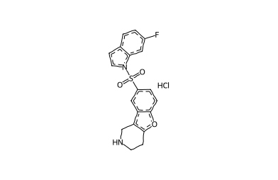 Cl.O=S(=O)(c1ccc2oc3c(c2c1)CNCC3)n1ccc2ccc(F)cc21